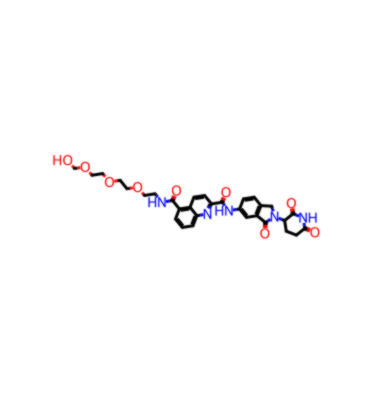 O=C1CCC(N2Cc3ccc(NC(=O)c4ccc5c(C(=O)NCCOCCOCCOCO)cccc5n4)cc3C2=O)C(=O)N1